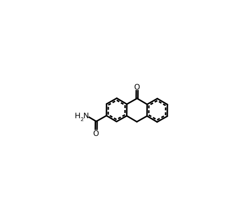 NC(=O)c1ccc2c(c1)Cc1ccccc1C2=O